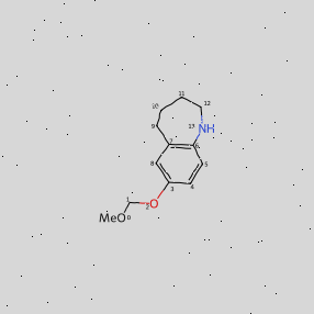 COCOc1ccc2c(c1)CCCCN2